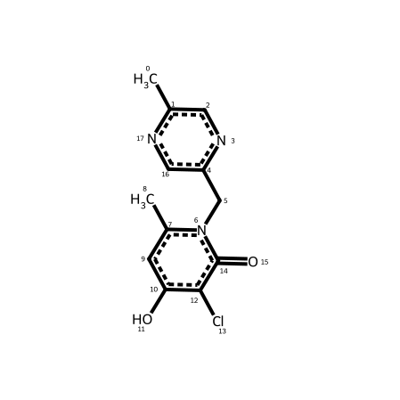 Cc1cnc(Cn2c(C)cc(O)c(Cl)c2=O)cn1